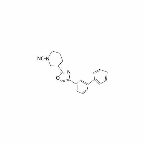 N#CN1CCCC(c2nc(-c3cccc(-c4ccccc4)c3)co2)C1